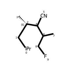 CC(C)C[C@H](C)C(C#N)C(C)CF